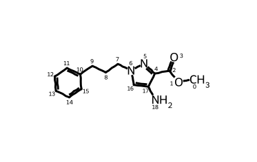 COC(=O)c1nn(CCCc2ccccc2)cc1N